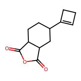 O=C1OC(=O)C2CC(C3=CCC3)CCC12